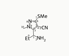 CCC(N)c1c(C#N)c(SC)nn1C